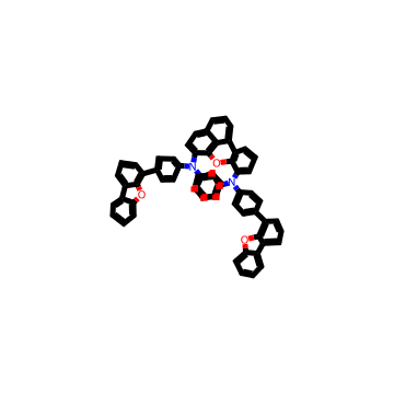 c1ccc(N(c2ccc(-c3cccc4c3oc3ccccc34)cc2)c2cccc3c2Oc2c(N(c4ccccc4)c4ccc(-c5cccc6c5oc5ccccc56)cc4)ccc4cccc-3c24)cc1